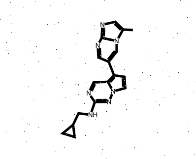 Cc1cnc2ncc(-c3ccn4nc(NCC5CC5)ncc34)cn12